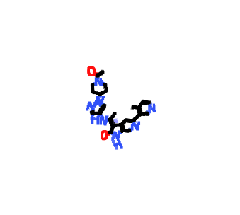 CC(=O)N1CCC(n2cc(N/C(C)=C3\C(=O)Nc4cnc(-c5cnccc5C)cc43)cn2)CC1